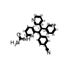 N#Cc1ccc(C(c2cccc(NC(N)=O)n2)C(c2cccnc2)c2cccnc2)cc1